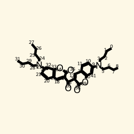 CCCCN(CCCC)c1ccc2cc(C(=O)c3cc4ccc(N(CCCC)CCCC)cc4oc3=O)c(=O)oc2c1